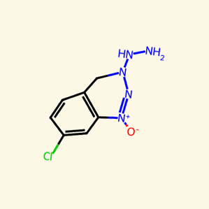 NNN1Cc2ccc(Cl)cc2[N+]([O-])=N1